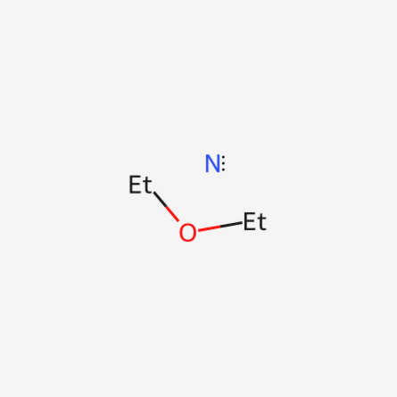 CCOCC.[N]